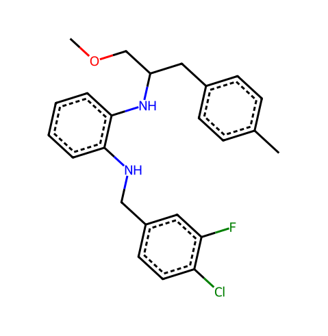 COCC(Cc1ccc(C)cc1)Nc1ccccc1NCc1ccc(Cl)c(F)c1